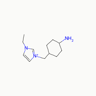 CCn1cc[n+](CC2CCC(N)CC2)c1